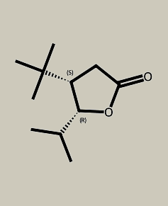 CC(C)[C@H]1OC(=O)C[C@H]1C(C)(C)C